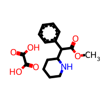 COC(=O)C(c1ccccc1)C1CCCCN1.O=C(O)C(=O)O